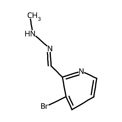 CNN=Cc1ncccc1Br